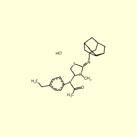 CCc1ccc(N(C(C)=O)C2CSC(=NC34CC5CC(CC(C5)C3)C4)N2C)cc1.Cl